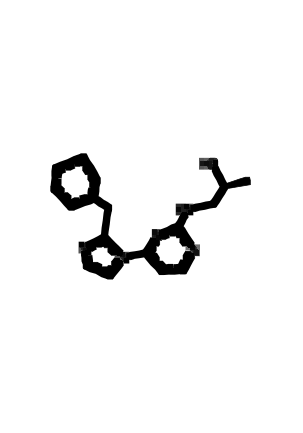 C[C@H](O)CNc1nccc(-n2ccnc2Cc2ccccc2)n1